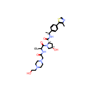 Cc1ncsc1-c1ccc([C@H](C)NC(=O)[C@@H]2C[C@@H](O)CN2C(=O)C(NC(=O)CN2CCN(CCO)CC2)C(C)(C)C)cc1